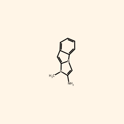 Cn1c(N)cn2c3ccccc3cc12